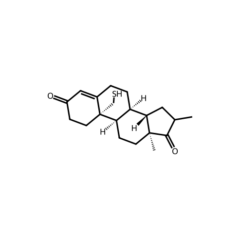 CC1C[C@H]2[C@@H]3CCC4=CC(=O)CC[C@]4(CS)[C@@H]3CC[C@]2(C)C1=O